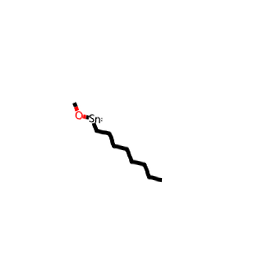 CCCCCCC[CH2][Sn][O]C